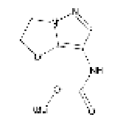 CC(C)(C)OC(=O)Nc1cnn2c1OCC2